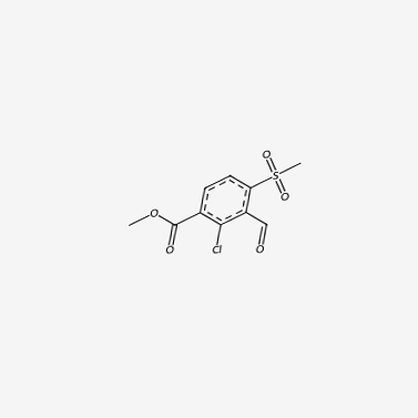 COC(=O)c1ccc(S(C)(=O)=O)c(C=O)c1Cl